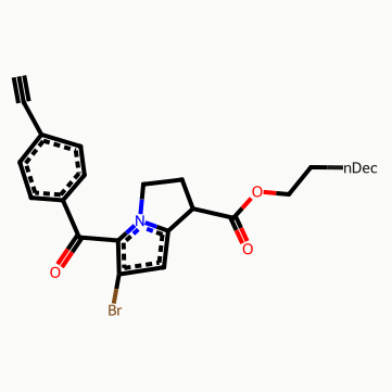 C#Cc1ccc(C(=O)c2c(Br)cc3n2CCC3C(=O)OCCCCCCCCCCCC)cc1